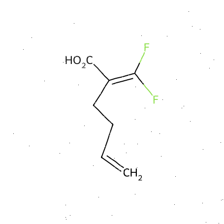 C=CCCC(C(=O)O)=C(F)F